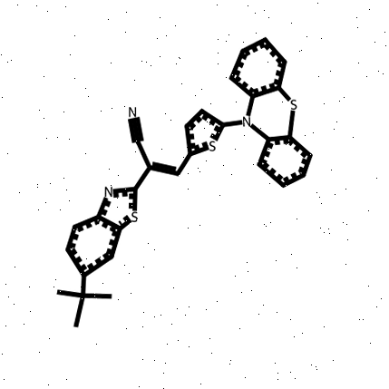 CC(C)(C)c1ccc2nc(/C(C#N)=C/c3ccc(N4c5ccccc5Sc5ccccc54)s3)sc2c1